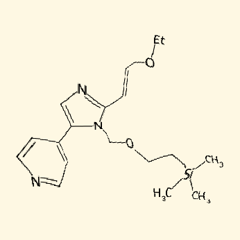 CCO/C=C/c1ncc(-c2ccncc2)n1COCC[Si](C)(C)C